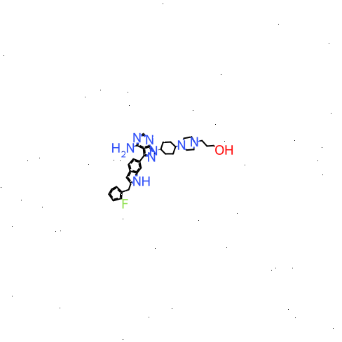 Nc1ncnc2c1c(-c1ccc3cc(Cc4ccccc4F)[nH]c3c1)nn2[C@H]1CC[C@H](N2CCN(CCCO)CC2)CC1